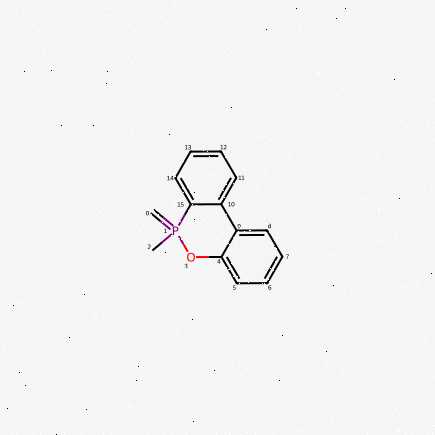 C=P1(C)Oc2ccccc2-c2ccccc21